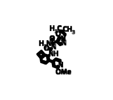 COc1cc(-c2ccc3c(c2NC(=O)N=S(N)(=O)c2cnn4c2OC(C)(C)C4)CC3)ccn1